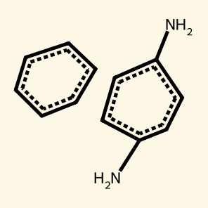 Nc1ccc(N)cc1.c1ccccc1